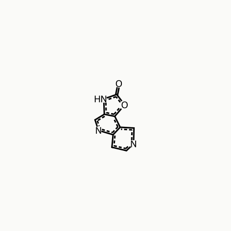 O=c1[nH]c2cnc3ccncc3c2o1